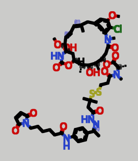 COc1cc2cc(c1Cl)N(C)C(=O)C[C@H](OC(=O)[C@H](C)N(C)C(=O)CCSSC(C)(C)CC(=O)N/N=C(/C)c1ccc(NC(=O)CCCCCN3C(=O)C=CC3=O)cc1)[C@@H](C)[C@@H](O)[C@H](C)[C@@H]1C[C@@](O)(NC(=O)O1)[C@H](OC)/C=C/C=C(\C)C2